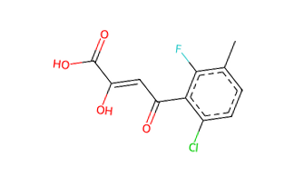 Cc1ccc(Cl)c(C(=O)C=C(O)C(=O)O)c1F